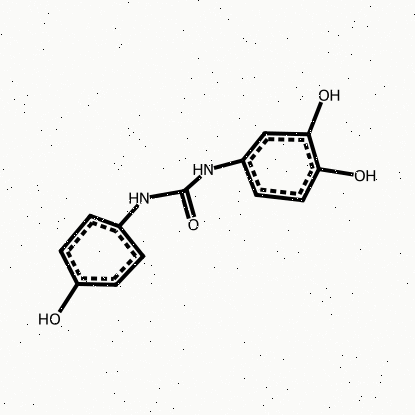 O=C(Nc1ccc(O)cc1)Nc1ccc(O)c(O)c1